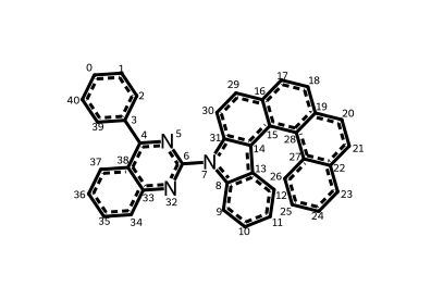 c1ccc(-c2nc(-n3c4ccccc4c4c5c(ccc6ccc7ccccc7c65)ccc43)nc3ccccc23)cc1